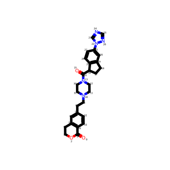 O=C1OCCc2cc(CCN3CCN(C(=O)C4CCc5cc(-n6cncn6)ccc54)CC3)ccc21